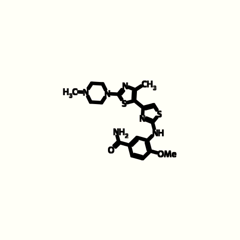 COc1ccc(C(N)=O)cc1Nc1nc(-c2sc(N3CCN(C)CC3)nc2C)cs1